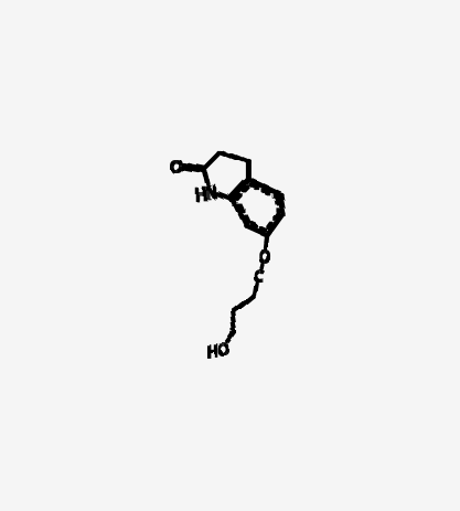 O=C1CCc2ccc(OCCCCO)cc2N1